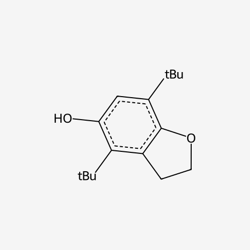 CC(C)(C)c1cc(O)c(C(C)(C)C)c2c1OCC2